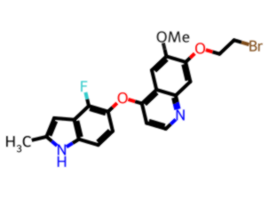 COc1cc2c(Oc3ccc4[nH]c(C)cc4c3F)ccnc2cc1OCCBr